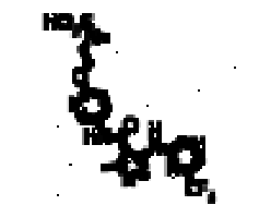 Cc1nsc(Nc2cncc(C(F)(F)F)n2)c1C(=O)Nc1ccc(OCCN(C)C(=O)O)nc1